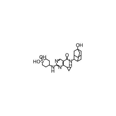 O=C(NC1C2CC3CC1CC(O)(C3)C2)c1cnc(NC2CCS(O)(O)CC2)nc1C1CC1